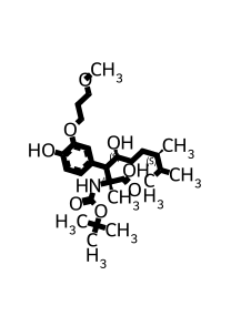 COCCCOc1cc(C([C@@H](O)CC[C@H](C)C(C)C)[C@@](C)(NC(=O)OC(C)(C)C)C(=O)O)ccc1O